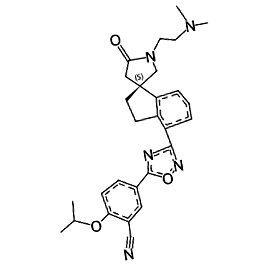 CC(C)Oc1ccc(-c2nc(-c3cccc4c3CC[C@]43CC(=O)N(CCN(C)C)C3)no2)cc1C#N